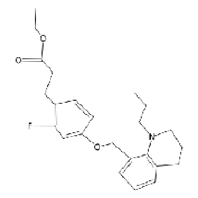 CCCN1CCCc2cccc(COc3ccc(CCC(=O)OCC)c(F)c3)c21